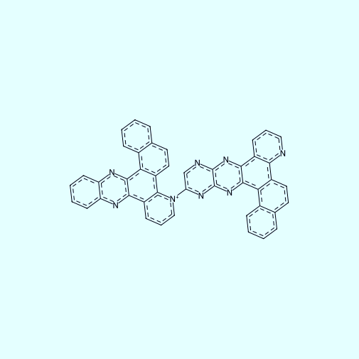 c1ccc2c(c1)ccc1c3ncccc3c3nc4ncc(-[n+]5cccc6c7nc8ccccc8nc7c7c8ccccc8ccc7c65)nc4nc3c21